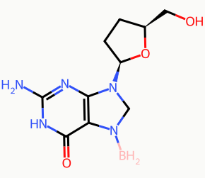 BN1CN([C@H]2CC[C@@H](CO)O2)c2nc(N)[nH]c(=O)c21